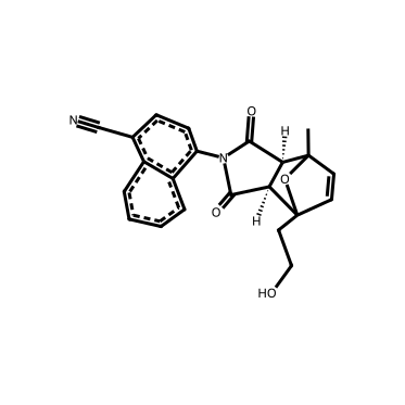 CC12C=CC(CCO)(O1)[C@H]1C(=O)N(c3ccc(C#N)c4ccccc34)C(=O)[C@H]12